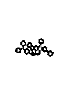 c1ccc(-c2ccc(N(c3ccccc3)c3cc4c(c5ccccc35)C3(c5ccccc5-c5ccc(N(c6ccccc6)c6ccccc6)cc53)c3ccccc3-4)cc2)cc1